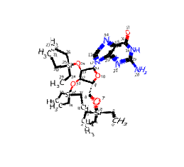 CC[Si](CC)(CC)OC[C@H]1O[C@@H](n2cnc3c(=O)[nH]c(N)nc32)[C@H](O[Si](CC)(CC)CC)[C@@H]1O[Si](CC)(CC)CC